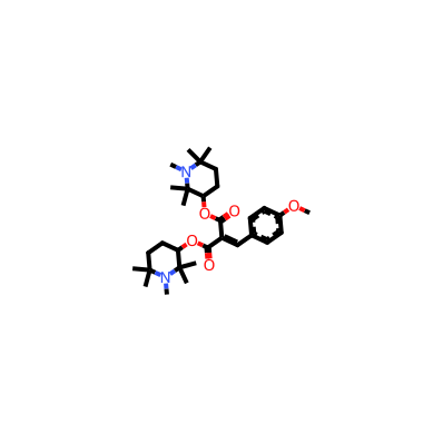 COc1ccc(C=C(C(=O)OC2CCC(C)(C)N(C)C2(C)C)C(=O)OC2CCC(C)(C)N(C)C2(C)C)cc1